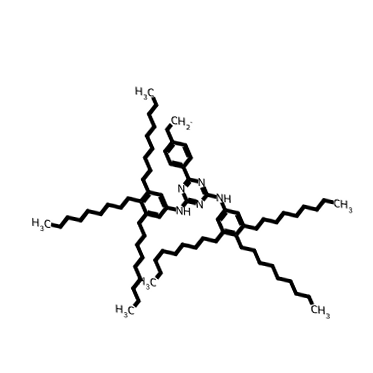 [CH2]Cc1ccc(-c2nc(Nc3cc(CCCCCCCCC)c(CCCCCCCCC)c(CCCCCCCCC)c3)nc(Nc3cc(CCCCCCCCC)c(CCCCCCCCC)c(CCCCCCCCC)c3)n2)cc1